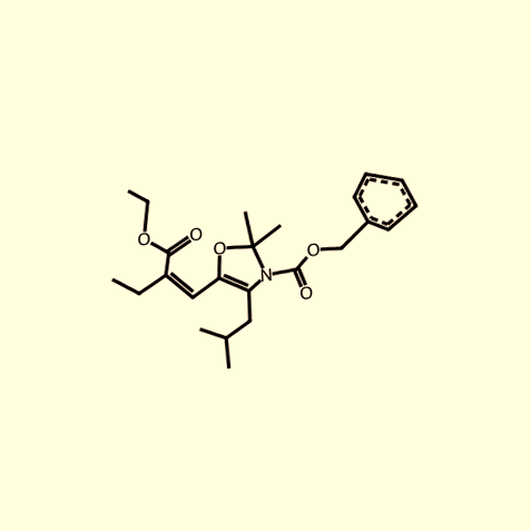 CCOC(=O)C(=CC1=C(CC(C)C)N(C(=O)OCc2ccccc2)C(C)(C)O1)CC